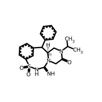 CC(C)N1C[C@@H]2C(c3ccccc3)c3cccc(c3)S(=O)(=O)NC(=N)N2CC1=O